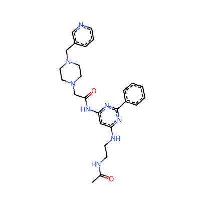 CC(=O)NCCNc1cc(NC(=O)CN2CCN(Cc3cccnc3)CC2)nc(-c2ccccc2)n1